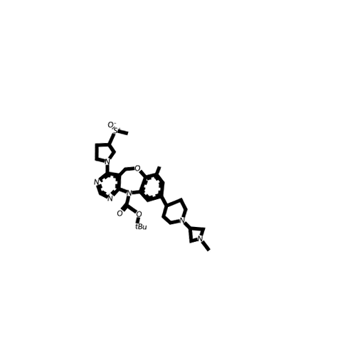 Cc1cc(C2CCN(C3CN(C)C3)CC2)cc2c1OCc1c(N3CCC([S+](C)[O-])C3)ncnc1N2C(=O)OC(C)(C)C